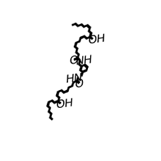 CCCCC/C=C\C/C=C(/O)C/C=C\C/C=C\CCCC(=O)NCc1cccc(CNC(=O)CCC/C=C\C/C=C\C/C(O)=C\C/C=C\CCCCC)c1